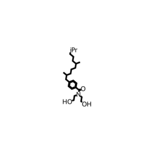 CC(C)CCCC(C)CCCC(C)Cc1ccc(C(=O)N(CCO)CCO)cc1